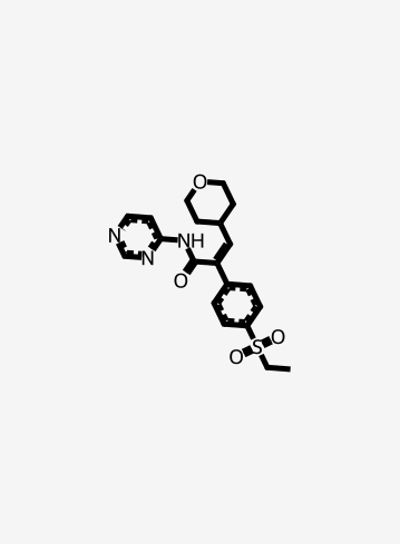 CCS(=O)(=O)c1ccc(C(=CC2CCOCC2)C(=O)Nc2ccncn2)cc1